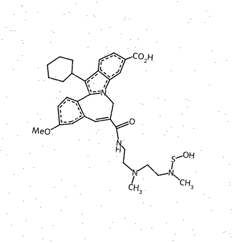 COc1ccc2c(c1)C=C(C(=O)NCCN(C)CCN(C)SO)Cn1c-2c(C2CCCCC2)c2ccc(C(=O)O)cc21